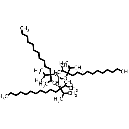 CCCCCCCCCCCC(OP(OC(CCCCCCCCCCC)(C(C)C)C(C)C)OC(CCCCCCCCCCC)(C(C)C)C(C)C)(C(C)C)C(C)C